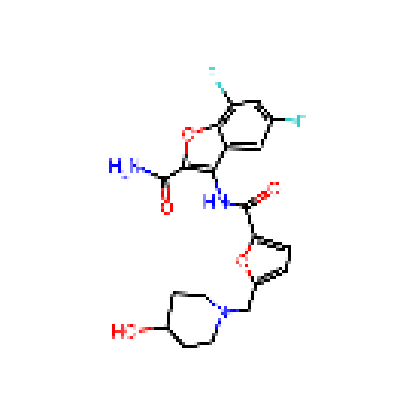 NC(=O)c1oc2c(F)cc(F)cc2c1NC(=O)c1ccc(CN2CCC(O)CC2)o1